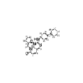 O=c1ccc2cnc(Nc3ccc(N4CCCCC4)cc3)nc2n1CC1CCCO1